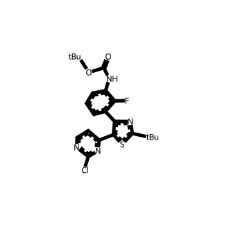 CC(C)(C)OC(=O)Nc1cccc(-c2nc(C(C)(C)C)sc2-c2ccnc(Cl)n2)c1F